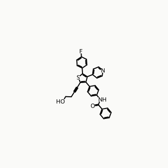 O=C(Nc1ccc(-c2c(C#CCCO)sc(-c3ccc(F)cc3)c2-c2ccncc2)cc1)c1ccccc1